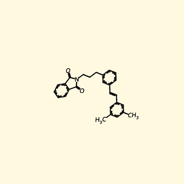 Cc1cc(C)cc(/C=C/c2cccc(CCCN3C(=O)c4ccccc4C3=O)c2)c1